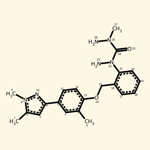 Cc1cc(-c2cc(C)n(C)n2)ccc1OCc1ccccc1N(N)C(=O)N(C)N